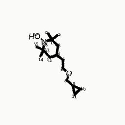 CC1(C)CC(CCOCC2CC2)CC(C)(C)N1O